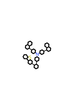 c1ccc(-c2ccc3c(c2)sc2ccccc23)c(-c2ccc(N(c3ccc(-c4cccc5ccccc45)cc3)c3ccc(-c4cccc5ccccc45)cc3)cc2)c1